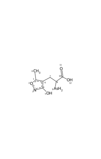 Cc1onc(O)c1CC([AsH2])C(=O)O